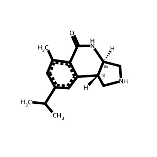 Cc1cc(C(C)C)cc2c1C(=O)N[C@H]1CNC[C@H]21